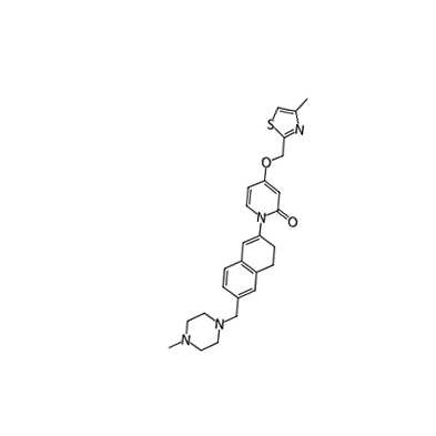 Cc1csc(COc2ccn(C3=Cc4ccc(CN5CCN(C)CC5)cc4CC3)c(=O)c2)n1